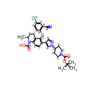 C[C@H]1CCc2c(ccc(-c3cnn(C4CCN(C(=O)OC(C)(C)C)CC4)c3)c2Oc2ccc(Cl)cc2C#N)N1C(=O)O